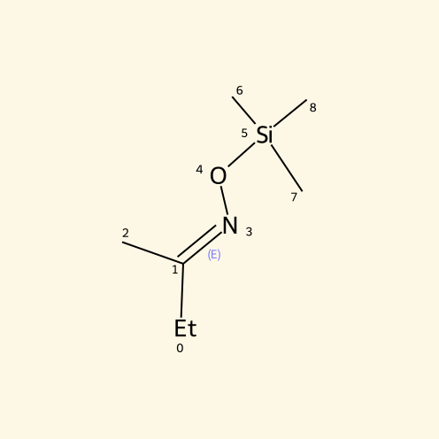 CC/C(C)=N/O[Si](C)(C)C